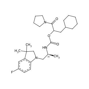 C[C@@H](CN1CC(C)(C)c2cc(F)ccc21)NC(=O)OC(CC1CCCCC1)C(=O)N1CCCC1